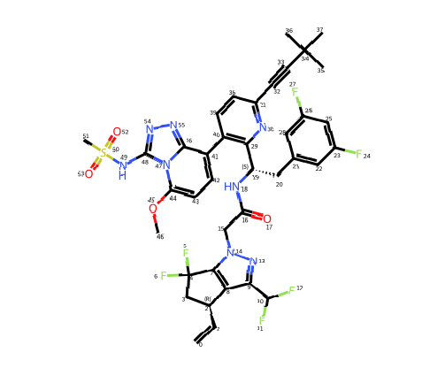 C=C[C@H]1CC(F)(F)c2c1c(C(F)F)nn2CC(=O)N[C@@H](Cc1cc(F)cc(F)c1)c1nc(C#CC(C)(C)C)ccc1-c1ccc(OC)n2c(NS(C)(=O)=O)nnc12